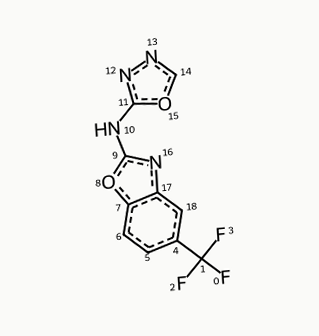 FC(F)(F)c1ccc2oc(Nc3nnco3)nc2c1